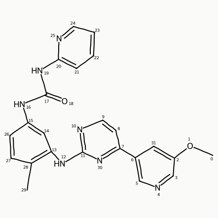 COc1cncc(-c2ccnc(Nc3cc(NC(=O)Nc4ccccn4)ccc3C)n2)c1